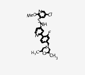 COc1ncc(Cl)cc1SNc1ccnc(-c2ccc(CN3CC(C)OC(C)C3)cc2F)c1